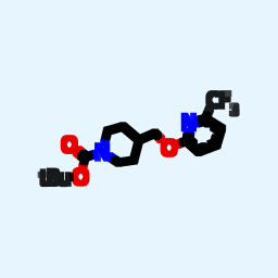 CC(C)(C)OC(=O)N1CCC(COc2cccc(C(F)(F)F)n2)CC1